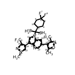 BC(B)(C1CCC(F)(F)CC1)n1cc(-c2cn(C)nc2C(F)(F)F)c2ncc(-c3c(C)noc3C)cc21